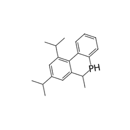 CC(C)c1cc(C(C)C)c2c(c1)C(C)Pc1ccccc1-2